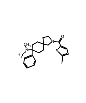 CN(C)C1(c2ccccc2)CCC2(CCN(C(=O)c3ccc(F)s3)C2)CC1